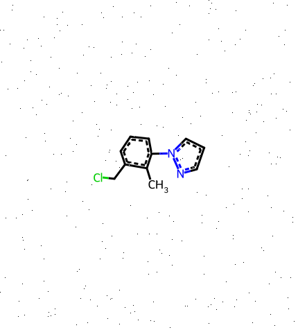 Cc1c(CCl)cccc1-n1cccn1